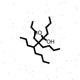 CCCCC(CCC)C(CCCC)(CCCC)C(O)(O)CCCC